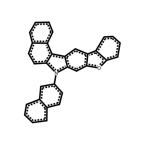 c1ccc2cc(-n3c4cc5oc6ccccc6c5cc4c4c5ccccc5ccc43)ccc2c1